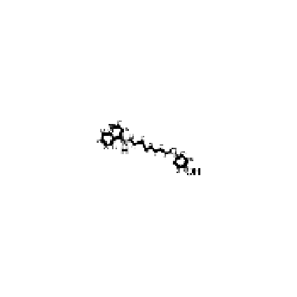 Oc1ccc(OCCCCCCCCNc2ccnc3ccccc23)cc1